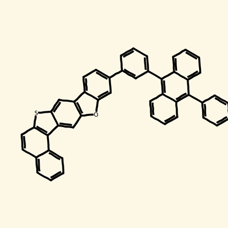 c1ccc(-c2c3ccccc3c(-c3cccc(-c4ccc5c(c4)oc4cc6c(cc45)sc4ccc5ccccc5c46)c3)c3ccccc23)cc1